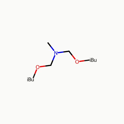 CCC(C)OCN(C)COC(C)CC